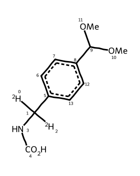 [2H]C([2H])(NC(=O)O)c1ccc(C(OC)OC)cc1